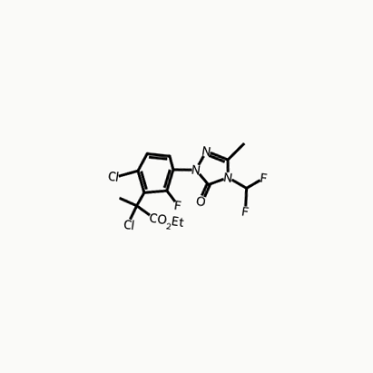 CCOC(=O)C(C)(Cl)c1c(Cl)ccc(-n2nc(C)n(C(F)F)c2=O)c1F